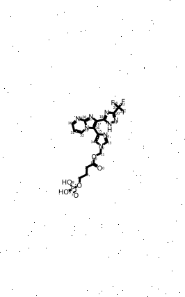 O=C(CCCOP(=O)(O)O)OCn1cnc(-c2c(-c3nc(C(F)(F)F)n[nH]3)nc3ncccn23)c1